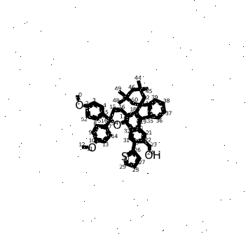 COc1ccc(C2(c3ccc(OC)cc3)C=Cc3c4c(c5cc(CO)c(-c6cccs6)cc5c3O2)-c2ccccc2C42CC(C)(C)CC(C)(C)C2)cc1